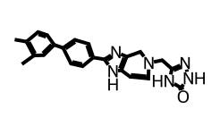 Cc1ccc(-c2ccc(-c3nc4c([nH]3)C=CN(Cc3n[nH]c(=O)[nH]3)C4)cc2)cc1C